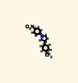 O=[N+]([O-])c1ccc(N2CCC(c3ccc(C(F)(F)F)cc3)C2)cc1